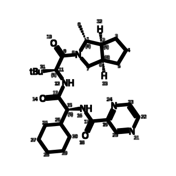 C[C@@H]1[C@H]2CCC[C@H]2CN1C(=O)[C@@H](NC(=O)[C@@H](NC(=O)c1cnccn1)C1CCCCC1)C(C)(C)C